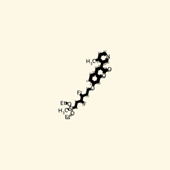 CCO[Si](C)(CCC(F)C(F)CCOc1ccc2cc(-c3cnccc3C)c(=O)oc2c1)OCC